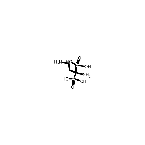 NCCC(N)(P(=O)(O)O)P(=O)(O)O